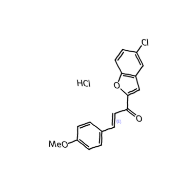 COc1ccc(/C=C/C(=O)c2cc3cc(Cl)ccc3o2)cc1.Cl